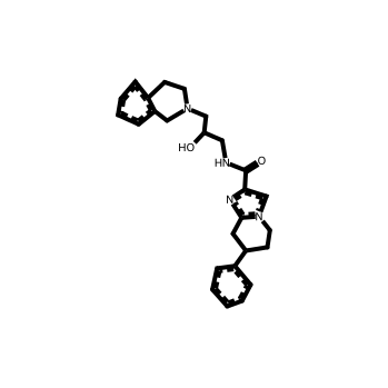 O=C(NCC(O)CN1CCc2ccccc2C1)c1cn2c(n1)CC(c1ccccc1)CC2